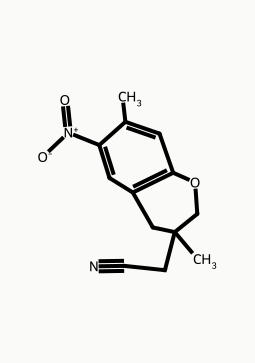 Cc1cc2c(cc1[N+](=O)[O-])CC(C)(CC#N)CO2